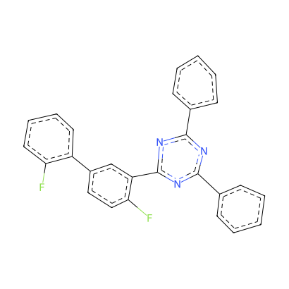 Fc1ccccc1-c1ccc(F)c(-c2nc(-c3ccccc3)nc(-c3ccccc3)n2)c1